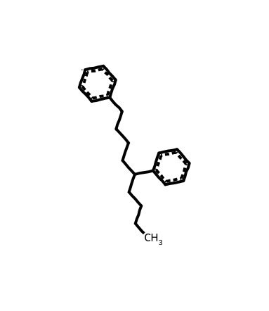 CCCCC(CCCCc1cc[c]cc1)c1ccccc1